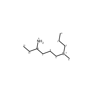 CCCB(C)CCCC(N)CC